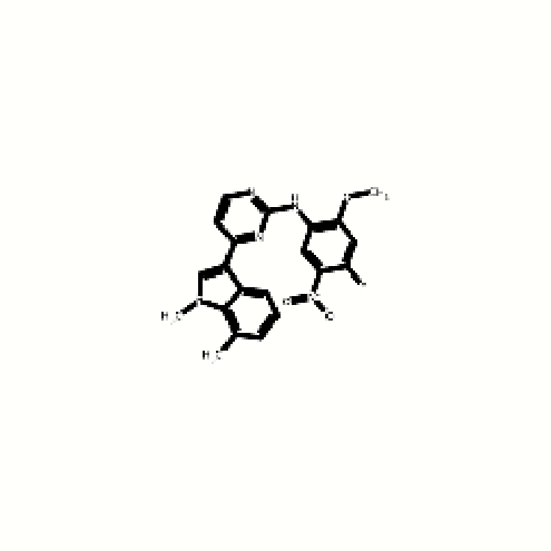 COc1cc(F)c([N+](=O)[O-])cc1Nc1nccc(-c2cn(C)c3c(C)cccc23)n1